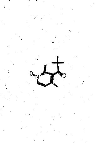 Cc1cc[n+]([O-])c(C)c1C(=O)C(C)(C)C